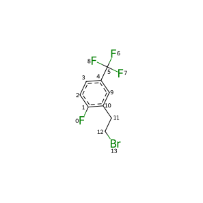 Fc1ccc(C(F)(F)F)cc1CCBr